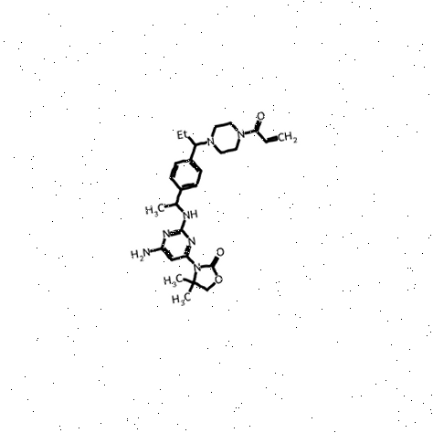 C=CC(=O)N1CCN(C(CC)c2ccc(C(C)Nc3nc(N)cc(N4C(=O)OCC4(C)C)n3)cc2)CC1